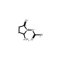 CC(C)C(=O)ON1C(=O)CCC1C